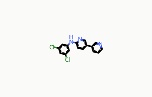 Clc1cc(Cl)cc(Nc2ccc(-c3cccnc3)cn2)c1